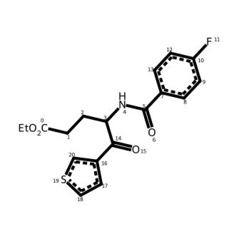 CCOC(=O)CCC(NC(=O)c1ccc(F)cc1)C(=O)c1ccsc1